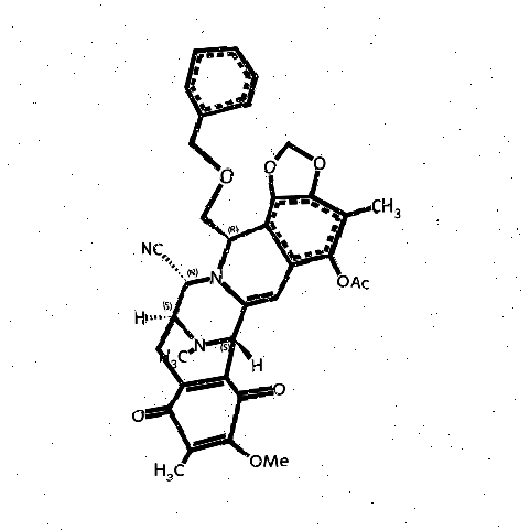 COC1=C(C)C(=O)C2=C(C1=O)[C@H]1C3=Cc4c(OC(C)=O)c(C)c5c(c4[C@H](COCc4ccccc4)N3[C@@H](C#N)[C@H](C2)N1C)OCO5